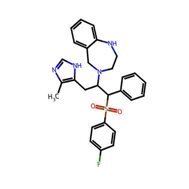 Cc1nc[nH]c1CC(C(c1ccccc1)S(=O)(=O)c1ccc(F)cc1)N1CCNc2ccccc2C1